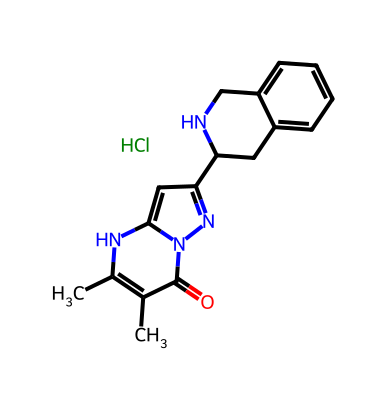 Cc1[nH]c2cc(C3Cc4ccccc4CN3)nn2c(=O)c1C.Cl